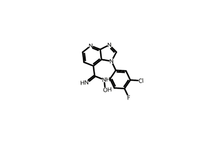 N=C(NO)c1ccnc2ncn(-c3ccc(F)c(Cl)c3)c12